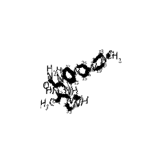 CCC1NC(C(N)=O)C(NC2C=CC(N3CCC(N4CCN(C)CC4)CC3)=CC2)NC1N1CCNCC1